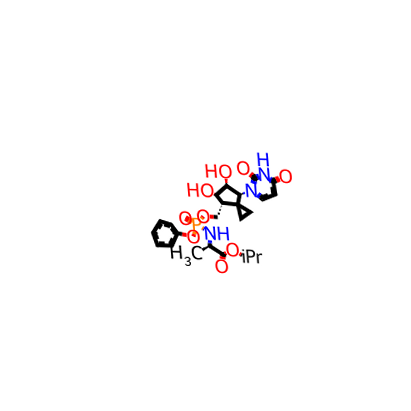 CC(C)OC(=O)[C@@H](C)NP(=O)(OC[C@@H]1[C@@H](O)[C@@H](O)[C@H](n2ccc(=O)[nH]c2=O)C12CC2)Oc1ccccc1